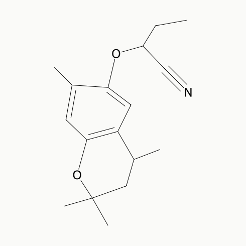 CCC(C#N)Oc1cc2c(cc1C)OC(C)(C)CC2C